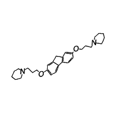 c1cc2c(cc1OCCCN1CCCCC1)Cc1cc(OCCCN3CCCCC3)ccc1-2